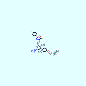 [C-]#[N+]c1c(N)nc(SCc2nc(-c3ccc(F)cc3)oc2C)c(C#N)c1-c1ccc(OC[C@H](C)O[Si](C)(C)C(C)(C)C)cc1